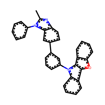 Cc1nc2ccc(-c3cccc(-n4c5ccccc5c5oc6ccccc6c54)c3)cc2n1-c1ccccc1